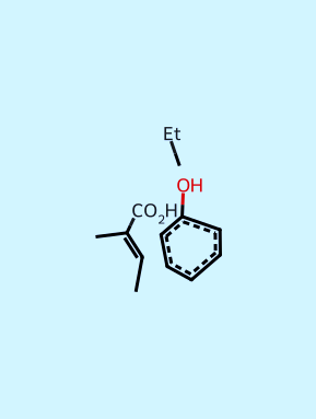 CC=C(C)C(=O)O.CCC.Oc1ccccc1